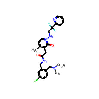 Cc1ccn(NCC(F)(F)c2ccccn2)c(=O)c1CC(=O)NCc1cc(Cl)ccc1CN(C(=O)O)C(C)(C)C